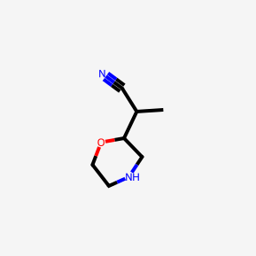 CC(C#N)C1CNCCO1